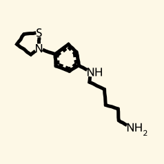 NCCCCCNc1ccc(N2CCCS2)cc1